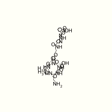 CC(C)[C@@H]1NC(=O)[C@@H](Cc2ccc(OCCCNC(=O)c3ccc(N/N=C/c4ccccc4S(=O)(=O)O)nc3)cc2)NC(=O)[C@H](CC(=O)O)NC(=O)CNC(=O)[C@H](CCCCN)NC1=O